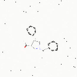 CC(=O)[C@@H]1CN(Cc2ccccc2)C[C@H]1c1ccccc1